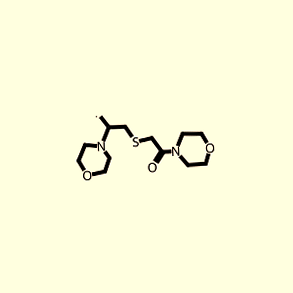 [CH2]C(CSCC(=O)N1CCOCC1)N1CCOCC1